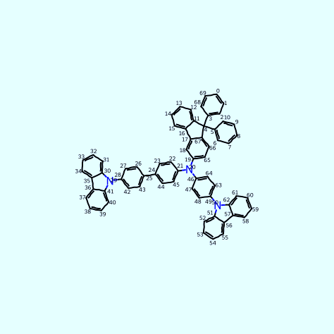 c1ccc(C2(c3ccccc3)c3ccccc3-c3cc(N(c4ccc(-c5ccc(-n6c7ccccc7c7ccccc76)cc5)cc4)c4ccc(-n5c6ccccc6c6ccccc65)cc4)ccc32)cc1